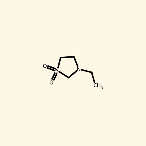 CCN1CCS(=O)(=O)C1